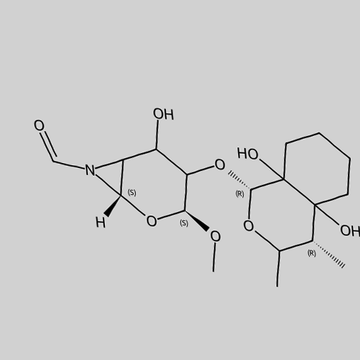 CO[C@H]1O[C@H]2C(C(O)C1O[C@H]1OC(C)[C@@H](C)C3(O)CCCCC13O)N2C=O